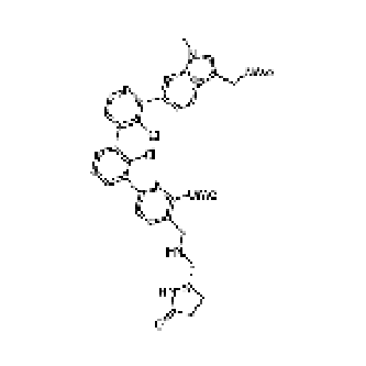 CNCc1cn(C)c2cc(-c3nccc(-c4cccc(-c5ccc(CNC[C@@H]6CCC(=O)N6)c(OC)n5)c4Cl)c3Cl)ccc12